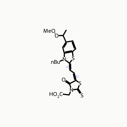 CCCCN1/C(=C/C=C2/SC(=S)N(CC(=O)O)C2=O)Sc2ccc(C(C)OOC)cc21